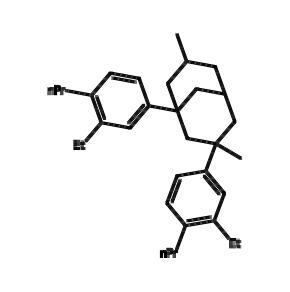 CCCc1ccc(C2(C)CC3CC(C)CC(c4ccc(CCC)c(CC)c4)(C3)C2)cc1CC